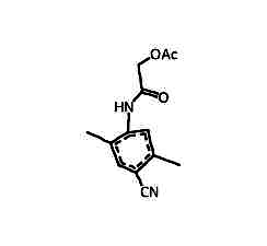 CC(=O)OCC(=O)Nc1cc(C)c(C#N)cc1C